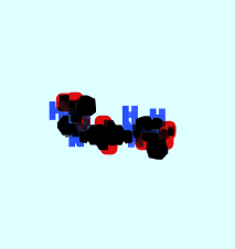 CC[C@@H]1CC[C@@H](c2ncc(-c3cc4c5c(c3)OCc3cc(-c6cnc([C@@H]7CCCN7C(=O)[C@H](NC(=O)OC)c7ccccc7)[nH]6)cc(c3-5)OC4)[nH]2)N1C(=O)[C@H](NC(=O)OC)c1ccccc1